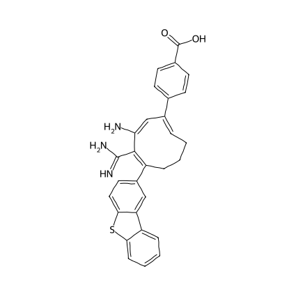 N=C(N)C1=C(\c2ccc3sc4ccccc4c3c2)CCC/C=C(c2ccc(C(=O)O)cc2)/C=C\1N